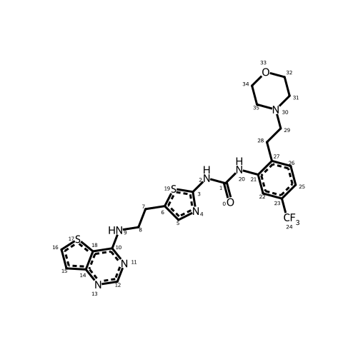 O=C(Nc1ncc(CCNc2ncnc3ccsc23)s1)Nc1cc(C(F)(F)F)ccc1CCN1CCOCC1